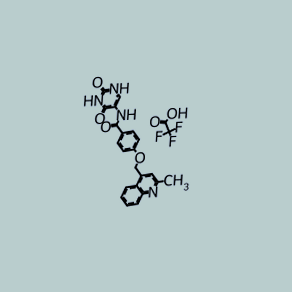 Cc1cc(COc2ccc(C(=O)Nc3c[nH]c(=O)[nH]c3=O)cc2)c2ccccc2n1.O=C(O)C(F)(F)F